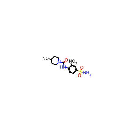 N#CC1CCN(C(=O)Nc2ccc(S(N)(=O)=O)cc2[N+](=O)[O-])CC1